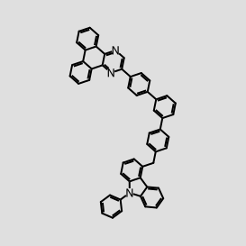 c1ccc(-n2c3ccccc3c3c(Cc4ccc(-c5cccc(-c6ccc(-c7cnc8c9ccccc9c9ccccc9c8n7)cc6)c5)cc4)cccc32)cc1